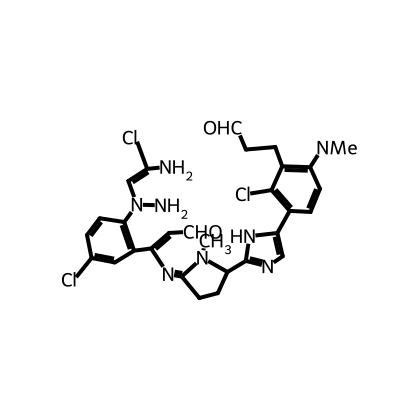 CNc1ccc(-c2cnc(C3CC/C(=N/C(=C\C=O)c4cc(Cl)ccc4N(N)/C=C(\N)Cl)N3C)[nH]2)c(Cl)c1CCC=O